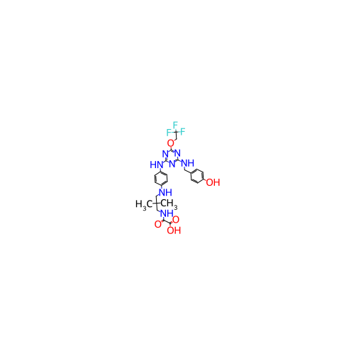 CC(C)(CNC(=O)C(=O)O)CNc1ccc(Nc2nc(NCc3ccc(O)cc3)nc(OCC(F)(F)F)n2)cc1